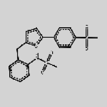 CS(=O)(=O)Nc1ccccc1Cc1ccc(-c2ccc(S(C)(=O)=O)cc2)s1